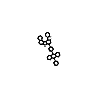 c1ccc(-c2c3ccccc3c(-c3ccc(-c4cc5sc6ccccc6c5c5c4sc4ccc6ccccc6c45)cc3)c3ccccc23)cc1